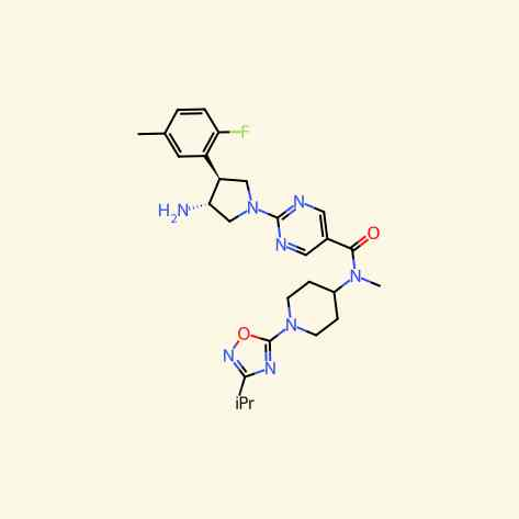 Cc1ccc(F)c([C@H]2CN(c3ncc(C(=O)N(C)C4CCN(c5nc(C(C)C)no5)CC4)cn3)C[C@@H]2N)c1